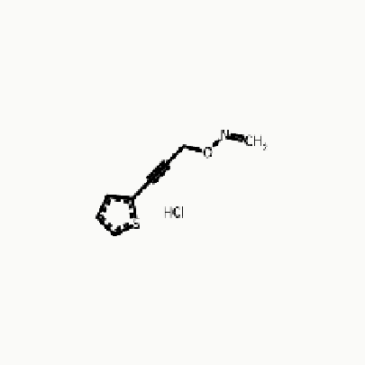 C=NOCC#Cc1cccs1.Cl